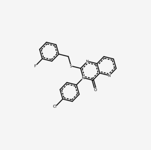 O=c1c2ncccc2nc(SCc2cccc(F)c2)n1-c1ccc(Cl)cc1